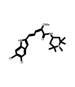 CO/C(=C/C=C/c1cc2cc(Cl)c(Cl)cc2[nH]1)C(=O)NC1CC(C)(C)N(C)C(C)(C)C1